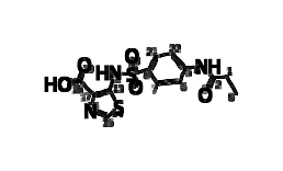 CCC(=O)Nc1ccc(S(=O)(=O)Nc2scnc2C(=O)O)cc1